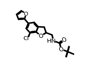 CC(C)(C)OC(=O)NCC1Cc2cc(-c3ccco3)cc(Cl)c2O1